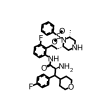 C[C@@H]1CNC[C@H](CCc2c(F)cccc2NC(=O)[C@@H](N)C(c2ccc(F)cc2)C2CCOCC2)N1S(=O)(=O)c1ccccc1